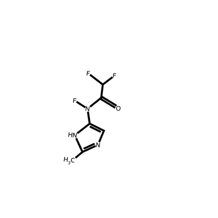 Cc1ncc(N(F)C(=O)C(F)F)[nH]1